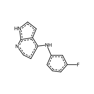 Fc1cccc(Nc2ccnc3[nH]ccc23)c1